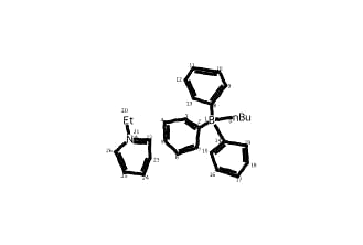 CCCC[B-](c1ccccc1)(c1ccccc1)c1ccccc1.CC[n+]1ccccc1